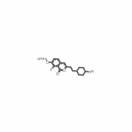 CCCCCCOc1ccc2cc(CCC3CCC(CCC)CC3)oc(=O)c2c1F